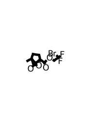 CC12CCC(C(=O)OCC(F)(F)Br)(OC1=O)C2(C)C